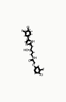 O=C(COc1ccc(Cl)c(F)c1)NCC[C@H](O)Cc1ncc(-c2ccc(Cl)c(F)c2)[nH]1